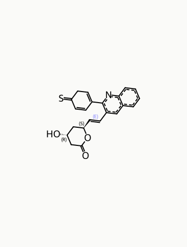 O=C1C[C@H](O)C[C@@H](/C=C/c2cc3ccccc3nc2C2=CCC(=S)C=C2)O1